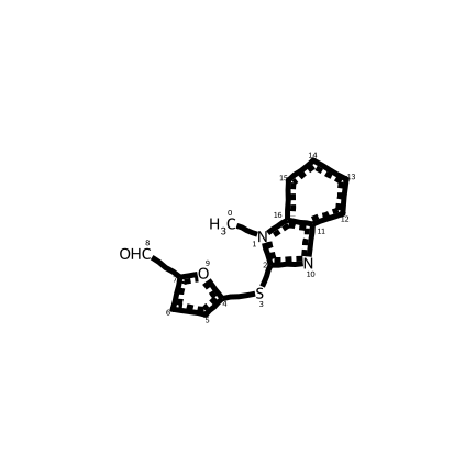 Cn1c(Sc2ccc(C=O)o2)nc2ccccc21